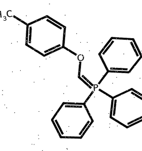 Cc1ccc(OC=P(c2ccccc2)(c2ccccc2)c2ccccc2)cc1